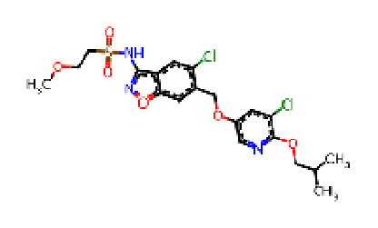 COCCS(=O)(=O)Nc1noc2cc(COc3cnc(OCC(C)C)c(Cl)c3)c(Cl)cc12